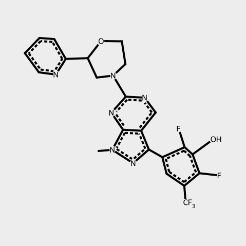 Cn1nc(-c2cc(C(F)(F)F)c(F)c(O)c2F)c2cnc(N3CCOC(c4ccccn4)C3)nc21